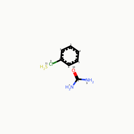 Clc1ccccc1.NC(N)=O.S